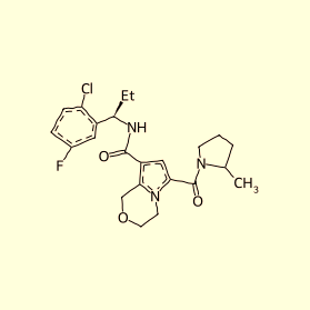 CC[C@@H](NC(=O)c1cc(C(=O)N2CCCC2C)n2c1COCC2)c1cc(F)ccc1Cl